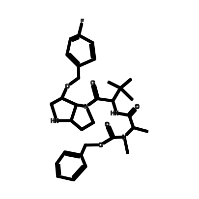 CC(C(=O)NC(C(=O)N1CCC2NCC(OCc3ccc(F)cc3)C21)C(C)(C)C)N(C)C(=O)OCc1ccccc1